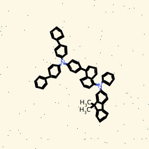 CC1(C)c2ccccc2-c2ccc(N(c3ccccc3)c3cccc4c(-c5ccc(N(c6ccc(-c7ccccc7)cc6)c6ccc(-c7ccccc7)cc6)cc5)cccc34)cc21